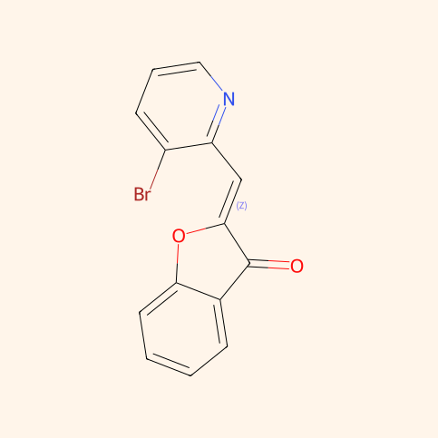 O=C1/C(=C/c2ncccc2Br)Oc2ccccc21